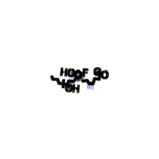 CCCCC(C)(C)[C@H](O)/C=C/[C@@H]1[C@@H](CC/C=C\CCC(=O)OC)[C@H](F)C[C@H]1O